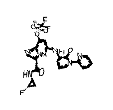 O=C(N[C@@H]1C[C@@H]1F)c1cnc2c(OS(=O)(=O)C(F)(F)F)cc(Nc3cccn(-c4ccccn4)c3=O)nn12